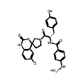 O=C(O)Nc1ccc(C(=O)N[C@@H](Cc2ccc(O)cc2)C(=O)N2CCC3(C2)OC(=O)Nc2ccc(Cl)cc23)cc1